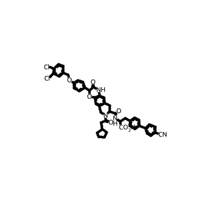 N#Cc1ccc(-c2ccc(CC(NC(=O)C3Cc4cc5c(cc4CN3C(=O)CC3CCCC3)OC(c3ccc(OCc4ccc(Cl)c(Cl)c4)cc3)C(=O)N5)C(=O)O)cc2)cc1